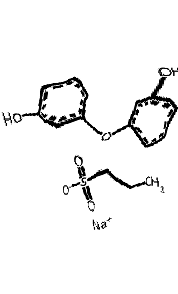 CCCS(=O)(=O)[O-].Oc1cccc(Oc2cccc(O)c2)c1.[Na+]